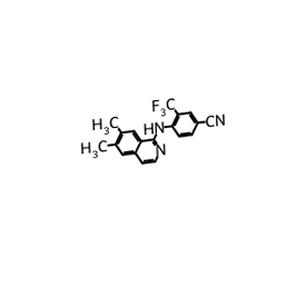 Cc1cc2ccnc(Nc3ccc(C#N)cc3C(F)(F)F)c2cc1C